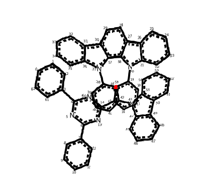 c1ccc(-c2nc(-c3ccccc3)nc(-c3cccc(-n4c5ccccc5c5ccc6c7ccccc7n(-c7cccc(-n8c9ccccc9c9ccccc98)c7)c6c54)c3)n2)cc1